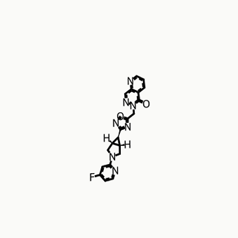 O=c1c2cccnc2cnn1Cc1nc([C@H]2[C@@H]3CN(c4cc(F)ccn4)C[C@@H]32)no1